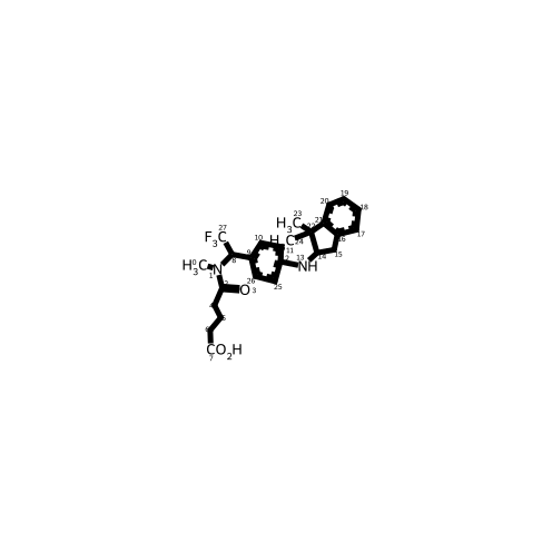 CN(C(=O)CCCC(=O)O)C(c1ccc(NC2Cc3ccccc3C2(C)C)cc1)C(F)(F)F